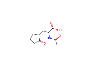 CC(=O)NC(CC1CCCC1=O)C(=O)O